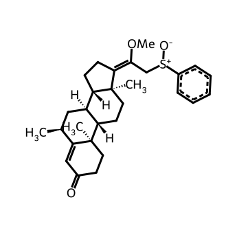 COC(C[S+]([O-])c1ccccc1)=C1CC[C@H]2[C@@H]3C[C@H](C)C4=CC(=O)CC[C@]4(C)[C@H]3CC[C@]12C